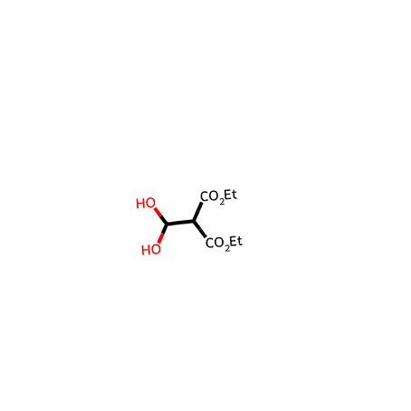 CCOC(=O)C(C(=O)OCC)C(O)O